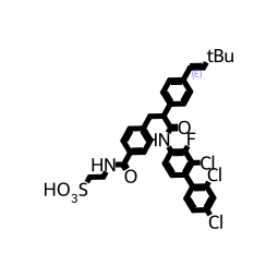 CC(C)(C)/C=C/c1ccc(C(Cc2ccc(C(=O)NCCS(=O)(=O)O)cc2)C(=O)Nc2ccc(-c3ccc(Cl)cc3Cl)c(Cl)c2F)cc1